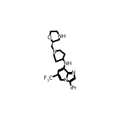 CC(C)c1cnc2c(NC3CCN(C[C@@H]4CNCCO4)CC3)cc(C(F)(F)F)cn12